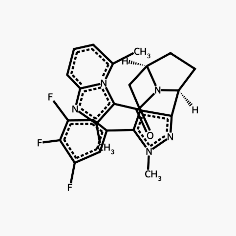 Cc1nc2cccc(C)n2c1C(=O)N1[C@@H]2CC[C@H]1c1nn(C)c(-c3cc(F)c(F)c(F)c3)c1C2